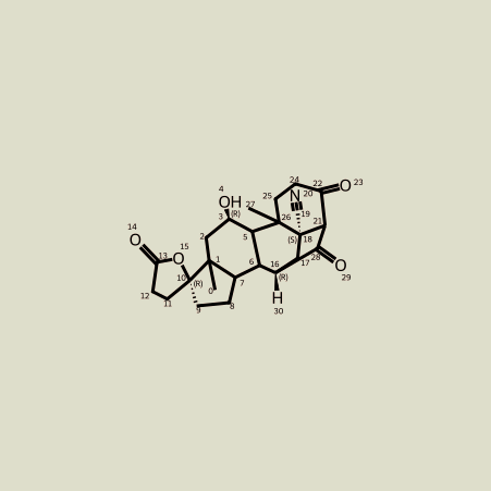 CC12C[C@@H](O)C3C(C1CC[C@@]21CCC(=O)O1)[C@H]1C[C@]2(C#N)C(C(=O)CCC32C)C1=O